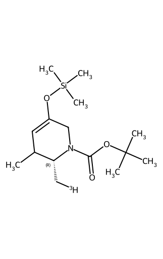 [3H]C[C@@H]1C(C)C=C(O[Si](C)(C)C)CN1C(=O)OC(C)(C)C